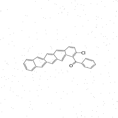 O=C(c1ccccc1)c1c(Cl)ccc2cc3cc4cc5ccccc5cc4cc3cc12